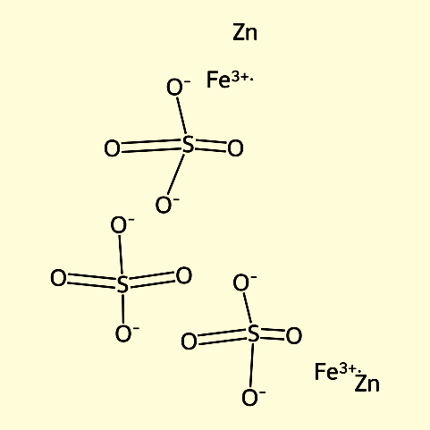 O=S(=O)([O-])[O-].O=S(=O)([O-])[O-].O=S(=O)([O-])[O-].[Fe+3].[Fe+3].[Zn].[Zn]